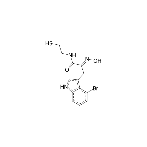 O=C(NCCS)/C(Cc1c[nH]c2cccc(Br)c12)=N/O